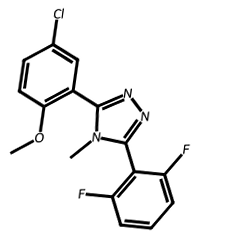 COc1ccc(Cl)cc1-c1nnc(-c2c(F)cccc2F)n1C